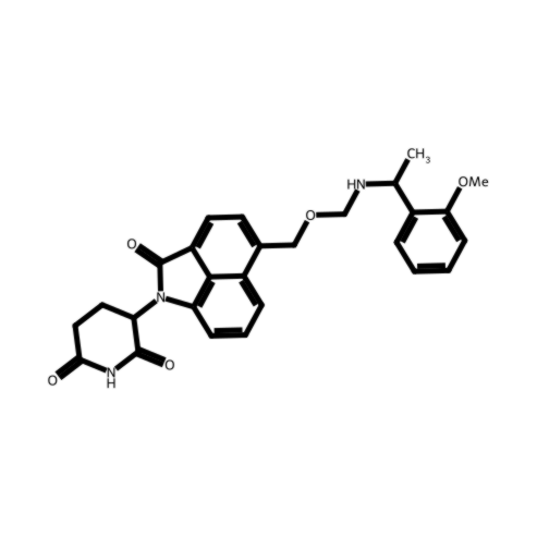 COc1ccccc1C(C)NCOCc1ccc2c3c(cccc13)N(C1CCC(=O)NC1=O)C2=O